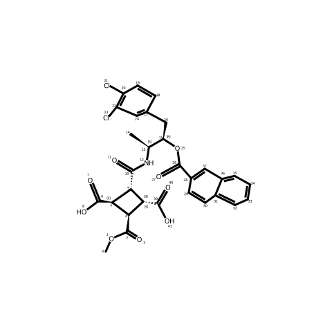 COC(=O)[C@H]1[C@@H](C(=O)O)[C@H](C(=O)N[C@@H](C)[C@@H](Cc2ccc(Cl)c(Cl)c2)OC(=O)c2ccc3ccccc3c2)[C@@H]1C(=O)O